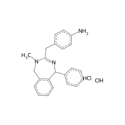 CN1Cc2ccccc2C(c2ccccc2)N=C1Cc1ccc(N)cc1.Cl.Cl